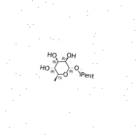 CCCC(C)O[C@@H]1O[C@@H](C)[C@H](O)[C@@H](O)[C@H]1O